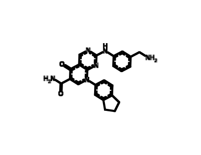 NCc1cccc(Nc2ncc3c(=O)c(C(N)=O)cn(-c4ccc5c(c4)CCC5)c3n2)c1